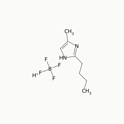 CCCCc1nc(C)c[nH]1.F[B-](F)(F)F.[H+]